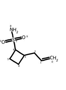 C=CCC1CCC1S(N)(=O)=O